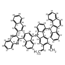 C=Cc1cc2c3c(-n4c5ccccc5c5ccc6ccccc6c54)cccc3n(-c3ccc(-c4nc5ccccc5nc4-c4ccc5ccccc5c4)c4ccccc34)c2cc1C=C